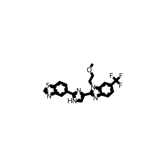 COCCn1c(-c2c[nH]c(-c3ccc4scnc4c3)n2)nc2ccc(C(F)(F)F)cc21